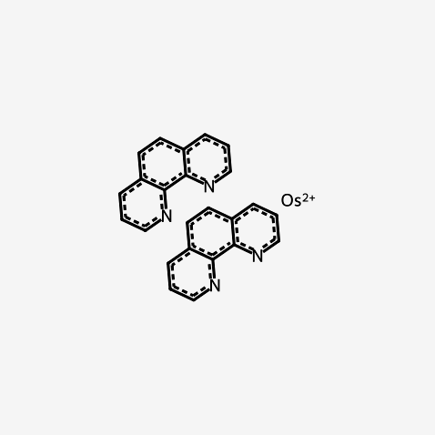 [Os+2].c1cnc2c(c1)ccc1cccnc12.c1cnc2c(c1)ccc1cccnc12